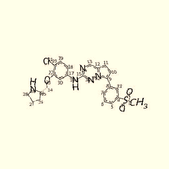 CS(=O)(=O)c1cccc(-c2ccc3cnc(Nc4ccc(Cl)c(OC[C@@H]5CCCN5)c4)nn23)c1